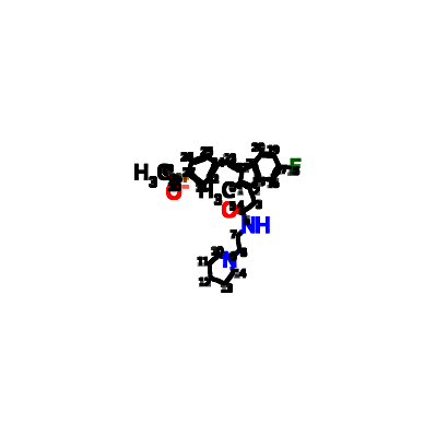 CC1=C(CC(=O)NCCN2CCCCC2)c2cc(F)ccc2C1=Cc1ccc([S+](C)[O-])cc1